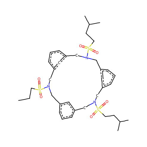 CCCS(=O)(=O)N1Cc2cccc(c2)CN(S(=O)(=O)CCC(C)C)Cc2cccc(c2)CN(S(=O)(=O)CCC(C)C)Cc2cccc(c2)C1